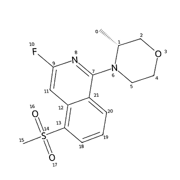 C[C@@H]1COCCN1c1nc(F)cc2c(S(C)(=O)=O)cccc12